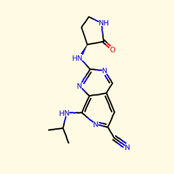 CC(C)Nc1nc(C#N)cc2cnc(N[C@H]3CCNC3=O)nc12